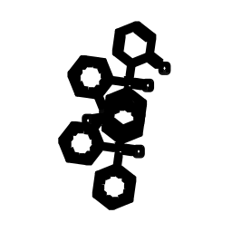 O=C1C=CC=CC1P(=O)(c1ccccc1)c1ccccc1Oc1ccccc1P(=O)(c1ccccc1)C1C=CC=CC1=O